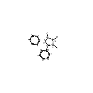 CN1[C@@H](c2ccccc2)[C@H](c2ccccc2)N(C)P1C